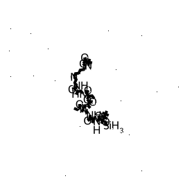 CCC(=O)[N+](C)(CCNC(=O)C(C)(C)NC(=O)C(C)(O[SiH3])C(C)(C)C(C)(C)C)CC(C)C(=O)OC(CC)C(=O)NCC(C)C(=O)NCCN(C)CCCCC1=NC(C)(C)C(=O)O1